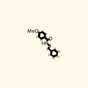 COc1ccc(C(=O)NN=Cc2ccccc2)cc1